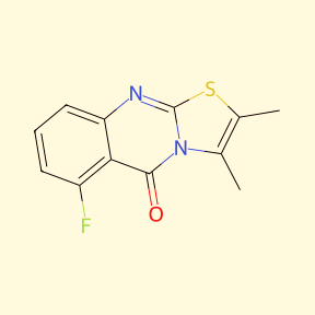 Cc1sc2nc3cccc(F)c3c(=O)n2c1C